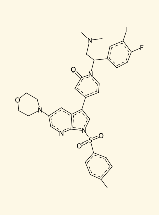 Cc1ccc(S(=O)(=O)n2cc(-c3ccn(C(CN(C)C)c4ccc(F)c(I)c4)c(=O)c3)c3cc(N4CCOCC4)cnc32)cc1